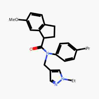 CCn1cc(CN(C(=O)C2CCc3ccc(OC)cc32)c2ccc(C(C)C)cc2)cn1